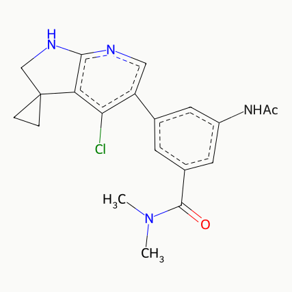 CC(=O)Nc1cc(C(=O)N(C)C)cc(-c2cnc3c(c2Cl)C2(CC2)CN3)c1